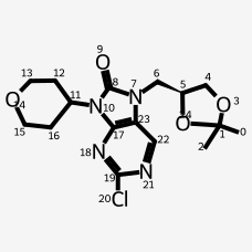 CC1(C)OC[C@H](Cn2c(=O)n(C3CCOCC3)c3nc(Cl)ncc32)O1